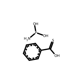 NP(O)O.OC(=S)c1ccccc1